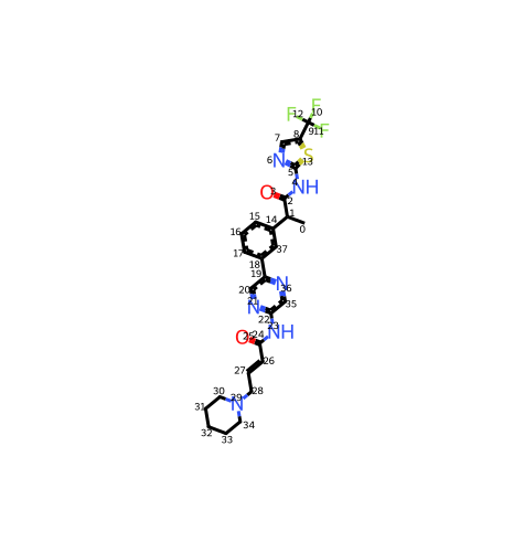 CC(C(=O)Nc1ncc(C(F)(F)F)s1)c1cccc(-c2cnc(NC(=O)/C=C/CN3CCCCC3)cn2)c1